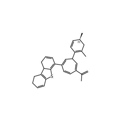 C=C(C)C1=CC(C2=C(C)C[C@H](C)C=C2)C=C(C2=C3SC4=C(CCC=C4)C3CC=C2)C=C1